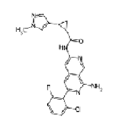 Cn1cc(C2CC2C(=O)Nc2cc3cc(-c4c(F)cccc4Cl)nc(N)c3cn2)cn1